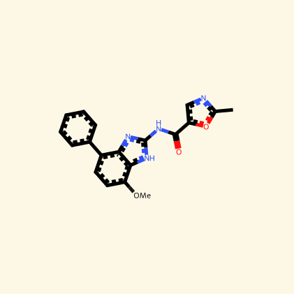 COc1ccc(-c2ccccc2)c2nc(NC(=O)c3cnc(C)o3)[nH]c12